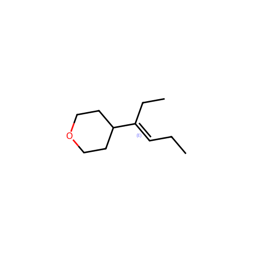 CC/C=C(\CC)C1CCOCC1